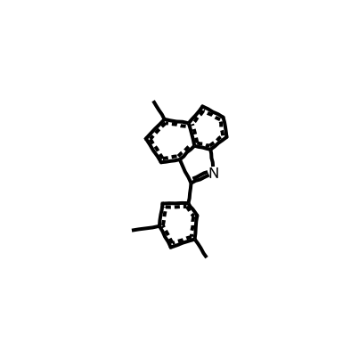 Cc1cc(C)cc(C2=Nc3cccc4c(C)ccc2c34)c1